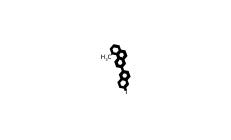 C[C@H]1CC=Cc2ccc3cc(-c4ccc5c(c4)CCC(I)=C5)ccc3c21